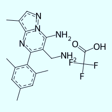 Cc1cc(C)c(-c2nc3c(C)cnn3c(N)c2CN)c(C)c1.O=C(O)C(F)(F)F